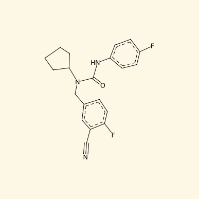 N#Cc1cc(CN(C(=O)Nc2ccc(F)cc2)C2CCCC2)ccc1F